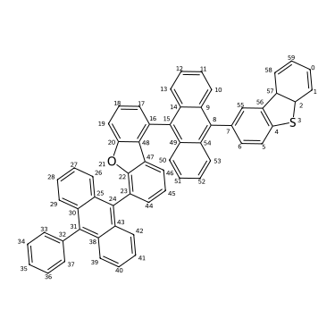 C1=CC2Sc3ccc(-c4c5ccccc5c(-c5cccc6oc7c(-c8c9ccccc9c(-c9ccccc9)c9ccccc89)cccc7c56)c5ccccc45)cc3C2C=C1